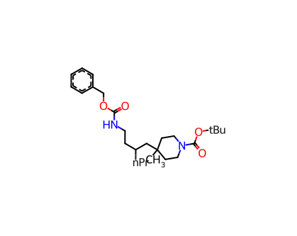 CCCC(CCNC(=O)OCc1ccccc1)CC1(C)CCN(C(=O)OC(C)(C)C)CC1